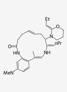 CC/C=C1\OCCCN1C1C/C=C/CCC(=O)Nc2cc(NC)ccc2/C(C)=C/N/C1=C/CCC